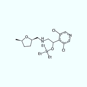 CC[Si](CC)(CC)OC(CNC[C@H]1CC[C@@H](C)O1)c1c(Cl)cncc1Cl